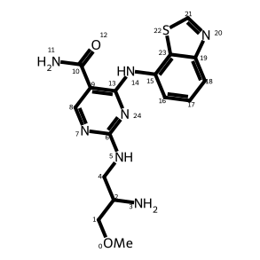 COCC(N)CNc1ncc(C(N)=O)c(Nc2cccc3ncsc23)n1